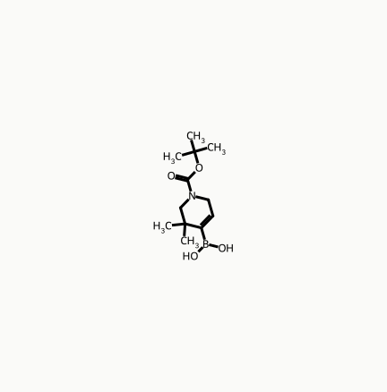 CC(C)(C)OC(=O)N1CC=C(B(O)O)C(C)(C)C1